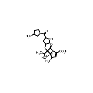 CC1C=C(C(=O)O)N2C(=O)C(SC3CNC(C(=O)N4CCC(N)C4)C3)(C(C)O)[C@H]12